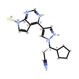 N#CC[C@@H](C1CCCC1)n1cc(-c2ncnc3c2ccn3S)cn1